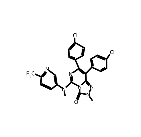 CN(c1ccc(C(F)(F)F)nc1)c1nc(-c2ccc(Cl)cc2)c(-c2ccc(Cl)cc2)c2nn(C)c(=O)n12